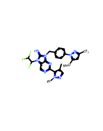 COc1cc(C(F)(F)F)nn1-c1ccc(Cn2c(=N)n(C(F)C(F)F)c3cnc(-c4c(C)cnn4C(C)C)nc32)cc1